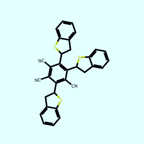 N#Cc1c(C#N)c(C2Cc3ccccc3S2)c(C2Cc3ccccc3S2)c(C#N)c1C1Cc2ccccc2S1